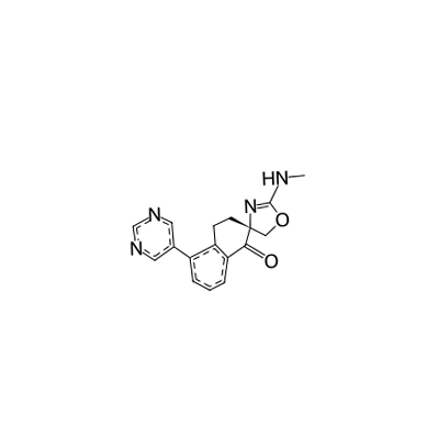 CNC1=N[C@]2(CCc3c(cccc3-c3cncnc3)C2=O)CO1